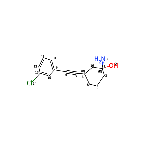 N[C@@]1(O)CCC[C@@H](C#Cc2cccc(Cl)c2)C1